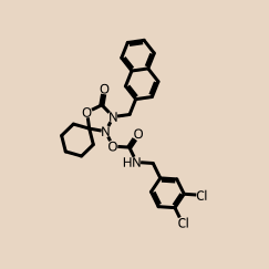 O=C(NCc1ccc(Cl)c(Cl)c1)ON1N(Cc2ccc3ccccc3c2)C(=O)OC12CCCCC2